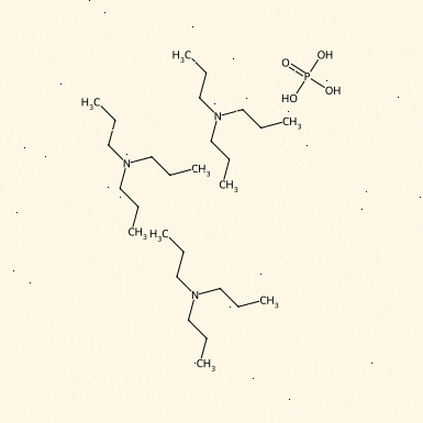 CCCN(CCC)CCC.CCCN(CCC)CCC.CCCN(CCC)CCC.O=P(O)(O)O